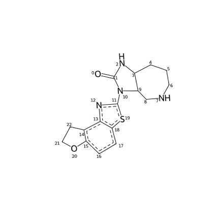 O=C1NC2CCCNCC2N1c1nc2c3c(ccc2s1)OCC3